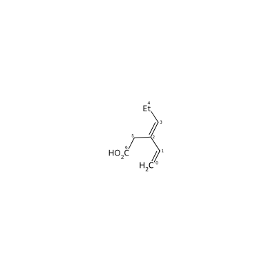 C=CC(=CCC)CC(=O)O